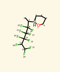 CC([SiH]1CCCCO1)C(F)(F)C(F)(F)C(F)(F)C(F)C(F)F